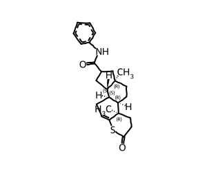 C[C@]12CC[C@@H]3[C@@H](CC=C4SC(=O)CC[C@@]43C)[C@@H]1CC(C(=O)Nc1ccccc1)C2